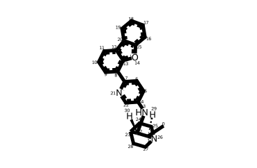 C[C@@H]1[C@@H](Nc2ccc(-c3cccc4c3oc3ccccc34)nc2)C2CCN1CC2